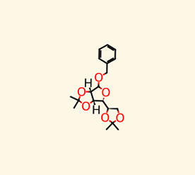 CC1(C)O[C@H]2[C@@H]([C@H]3COC(C)(C)O3)OC(OCc3ccccc3)[C@H]2O1